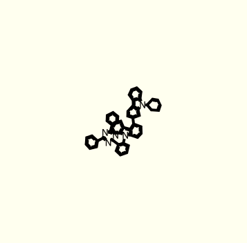 C1=CCC(n2c3ccccc3c3ccc(-c4cccc5c4c4ccccc4n5-c4ccccc4-c4nc(-c5ccccc5)nc(-c5ccccc5)n4)cc32)C=C1